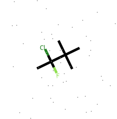 CC(C)(C)C(C)(F)Cl